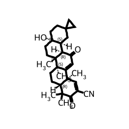 CC1(C)C(=O)C(C#N)=C[C@]2(C)C3=CC(=O)[C@@H]4[C@@H]5CC6(CC6)CC[C@]5(O)CC[C@@]4(C)[C@]3(C)CC[C@@H]12